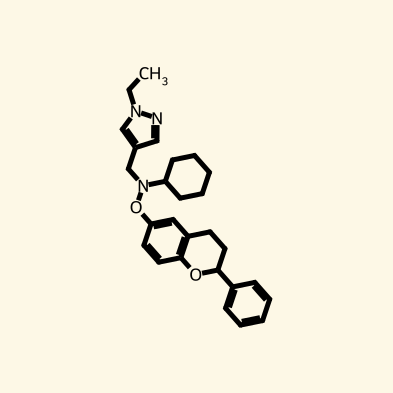 CCn1cc(CN(Oc2ccc3c(c2)CCC(c2ccccc2)O3)C2CCCCC2)cn1